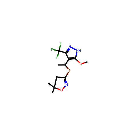 COc1[nH]nc(C(F)(F)F)c1C(C)SC1=NOC(C)(C)C1